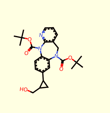 CC(C)(C)OC(=O)N1Cc2cccnc2N(C(=O)OC(C)(C)C)c2ccc(C3CC3CO)cc21